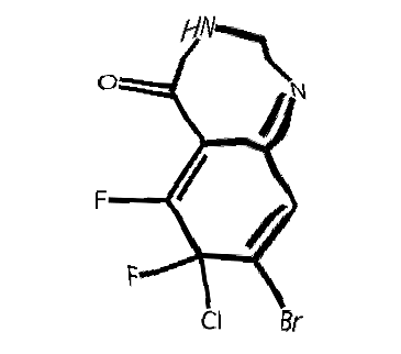 O=C1NCN=C2C=C(Br)C(F)(Cl)C(F)=C12